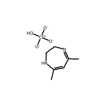 CC1=CC(C)=NCCN1.[O-][Cl+3]([O-])([O-])O